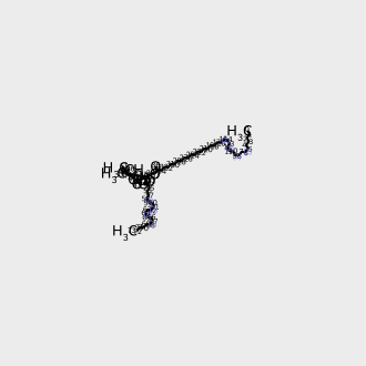 CCCCC/C=C\C/C=C\C/C=C\C/C=C\CCCCCCCCCCCCCCCCCCCC(=O)OC[C@H](COP(=O)([O-])OCC[N+](C)(C)C)OC(=O)CCC/C=C\C/C=C\C/C=C\C/C=C\CCCCC